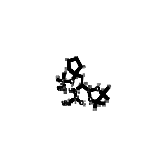 CC(C)(C)[S+]([O-])N[C@@H](CC1(O[Si](C)(C)C(C)(C)C)CCCC1)B1OC(C)(C)C(C)(C)O1